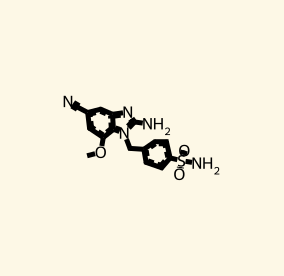 COc1cc(C#N)cc2nc(N)n(Cc3ccc(S(N)(=O)=O)cc3)c12